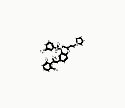 CC(=Cc1ccc2c(c1)N(S(=O)(=O)c1cccc(C(F)(F)F)c1)CC(CCN1CCCC1)O2)c1c(F)cccc1Cl